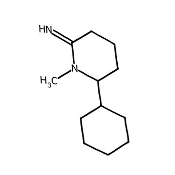 CN1C(=N)CCCC1C1CCCCC1